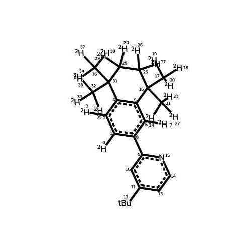 [2H]c1c([2H])c2c(c([2H])c1-c1cc(C(C)(C)C)ccn1)C(C([2H])([2H])[2H])(C([2H])([2H])[2H])C([2H])([2H])C([2H])([2H])C2(C([2H])([2H])[2H])C([2H])([2H])[2H]